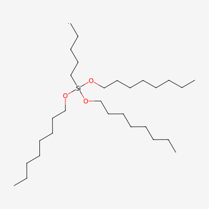 [CH2]CCCC[Si](OCCCCCCCC)(OCCCCCCCC)OCCCCCCCC